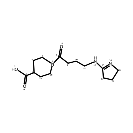 O=C(O)C1CCN(C(=O)CCCNC2=NCCC2)CC1